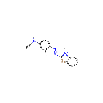 C#CN(C)c1ccc(/N=N/c2sc3ccccc3[n+]2C)c(C)c1